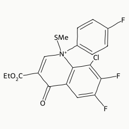 CCOC(=O)C1=C[N+](SC)(c2ccc(F)cc2)c2c(cc(F)c(F)c2Cl)C1=O